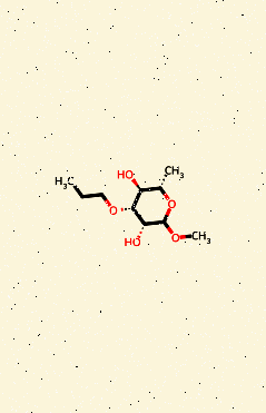 CCCO[C@@H]1[C@@H](O)[C@H](C)OC(OC)[C@@H]1O